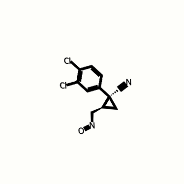 N#C[C@]1(c2ccc(Cl)c(Cl)c2)C[C@H]1CN=O